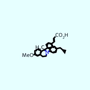 COc1ccc2c(c1)CCN(c1ccc(CC3CC3)cc1)C2(C)c1ccc(C=CC(=O)O)cc1